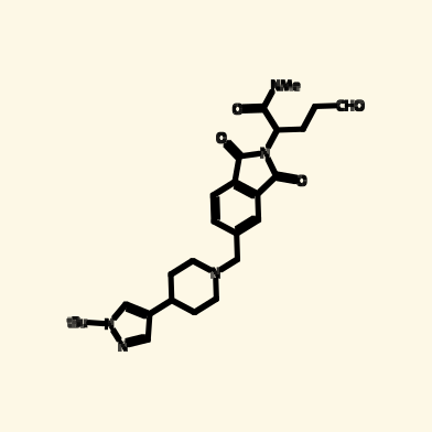 CNC(=O)C(CCC=O)N1C(=O)c2ccc(CN3CCC(c4cnn(C(C)(C)C)c4)CC3)cc2C1=O